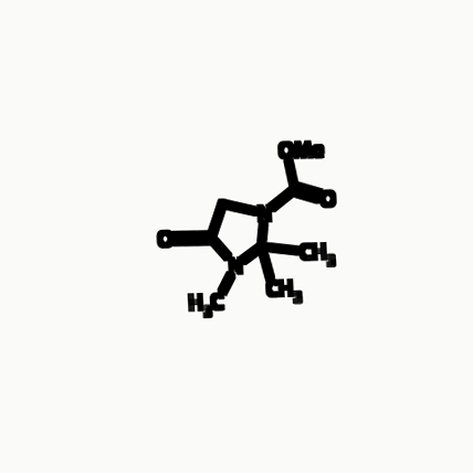 COC(=O)N1CC(=O)N(C)C1(C)C